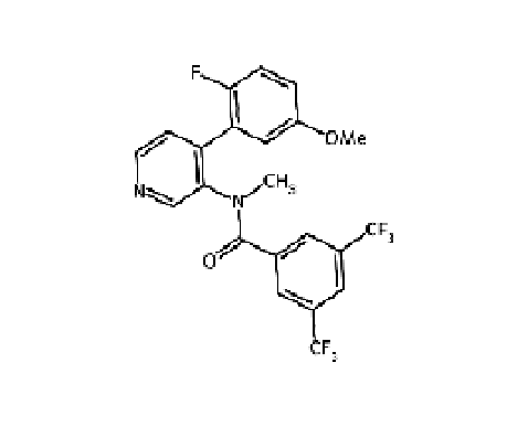 COc1ccc(F)c(-c2ccncc2N(C)C(=O)c2cc(C(F)(F)F)cc(C(F)(F)F)c2)c1